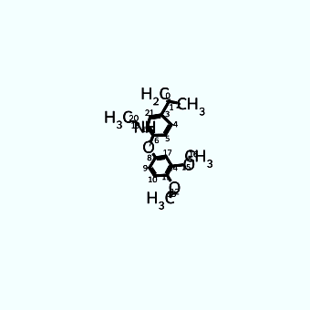 C=C(C)c1ccc(Oc2ccc(OC)c(OC)c2)c(NC)c1